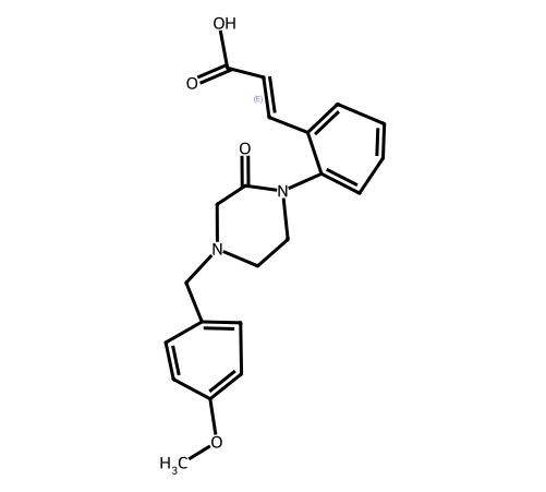 COc1ccc(CN2CCN(c3ccccc3/C=C/C(=O)O)C(=O)C2)cc1